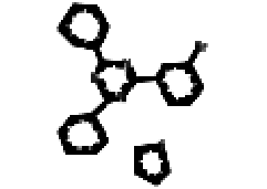 Brc1cccc(-c2nc(-c3ccccc3)nc(-c3ccccc3)n2)c1.c1ccsc1